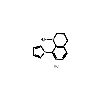 Cl.NN1CCCc2cccc(-n3cccc3)c21